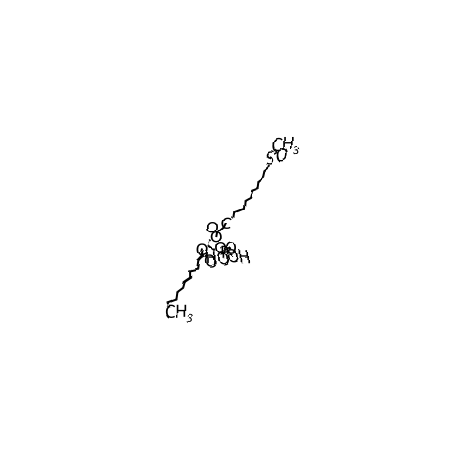 CCCCCCCCCCC(=O)O[C@H](COC(=O)CCCCCCCCCCCCCSC(C)=O)COP(=O)(O)O